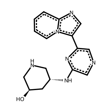 O[C@H]1CNC[C@H](Nc2cncc(-c3cnc4ccccn34)n2)C1